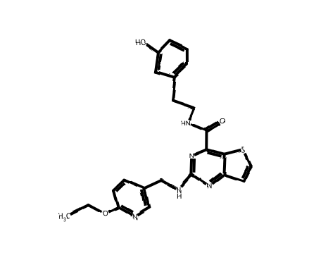 CCOc1ccc(CNc2nc(C(=O)NCCc3cccc(O)c3)c3sccc3n2)cn1